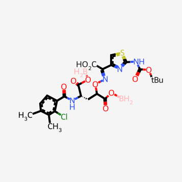 BOC(=O)C(C[C@H](NC(=O)c1ccc(C)c(C)c1Cl)C(=O)OB)O/N=C(\C(=O)O)c1csc(NC(=O)OC(C)(C)C)n1